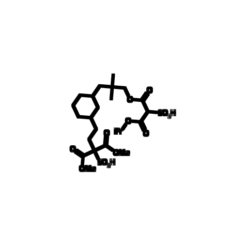 COC(=O)C(CCC1CCCC(CC(C)(C)COC(=O)C(C(=O)OC(C)C)S(=O)(=O)O)C1)(C(=O)OC)S(=O)(=O)O